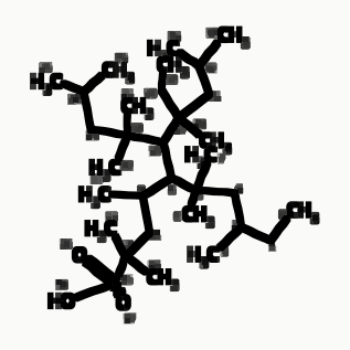 CCC(C)CC(C)(C)C(C(C)CC(C)(C)S(=O)(=O)O)C(C(C)(C)CC(C)C)C(C)(CC)CC(C)C